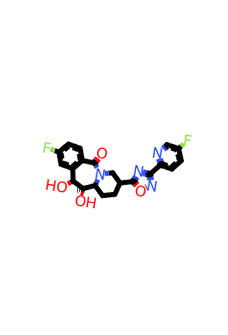 O=C1c2ccc(F)cc2C(O)[C@H](O)C2CCC(c3nc(-c4ccc(F)cn4)no3)CN12